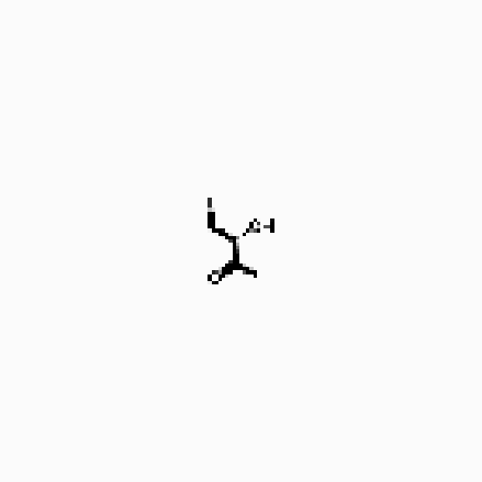 CC(=O)[C@@H](O)CI